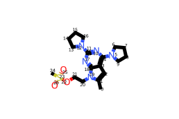 Cc1cc2c(N3CCCC3)nc(N3CCCC3)nc2n1CCOS(C)(=O)=O